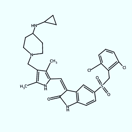 Cc1[nH]c(/C=C2\C(=O)Nc3ccc(S(=O)(=O)Cc4c(Cl)cccc4Cl)cc32)c(C)c1CN1CCC(NC2CC2)CC1